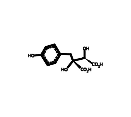 O=C(O)[C@@H](O)[C@](O)(Cc1ccc(O)cc1)C(=O)O